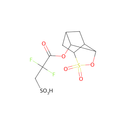 O=C(OC1C2CC3C1OS(=O)(=O)C3C2)C(F)(F)CS(=O)(=O)O